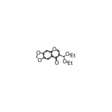 CCOC(OCC)c1coc2cc3c(cc2c1=O)OCO3